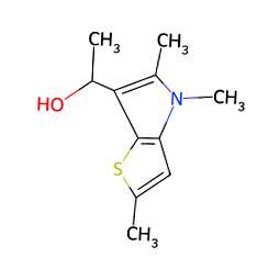 Cc1cc2c(s1)c(C(C)O)c(C)n2C